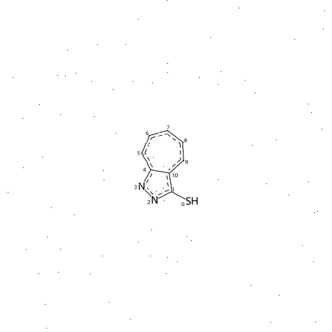 Sc1nnc2cccccc1-2